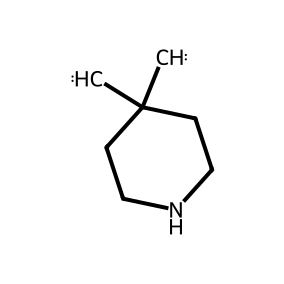 [CH]C1([CH])CCNCC1